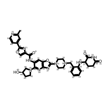 Cc1cc(-c2nc(C(=O)Nc3cc4oc(N5CCN(Cc6ccccc6NC6CCC(=O)NC6=O)CC5)nc4nc3N3CC[C@@H](O)C3)co2)ccn1